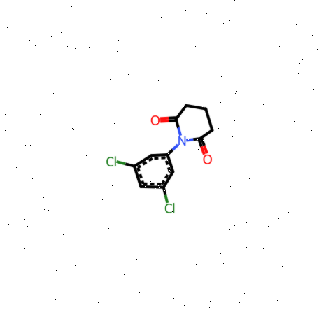 O=C1CCCC(=O)N1c1cc(Cl)cc(Cl)c1